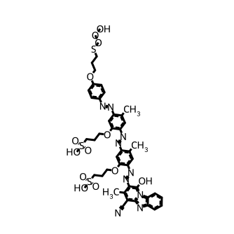 Cc1cc(N=Nc2cc(OCCCS(=O)(=O)O)c(N=Nc3c(C)c(C#N)c4nc5ccccc5n4c3O)cc2C)c(OCCCS(=O)(=O)O)cc1N=Nc1ccc(OCCCSOOO)cc1